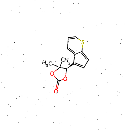 CC1(C)OC(=O)O[C@@H]1c1ccc2scccc1-2